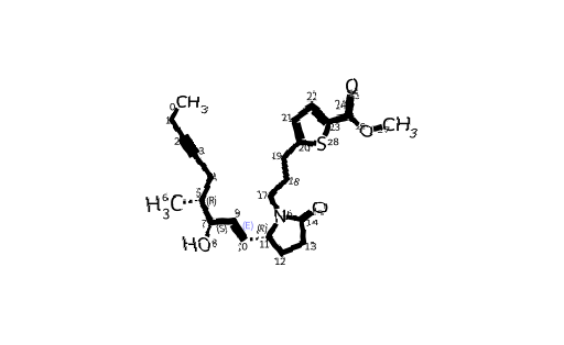 CCC#CC[C@@H](C)[C@H](O)/C=C/[C@H]1CCC(=O)N1CCCc1ccc(C(=O)OC)s1